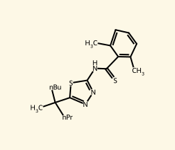 CCCCC(C)(CCC)c1nnc(NC(=S)c2c(C)cccc2C)s1